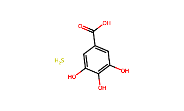 O=C(O)c1cc(O)c(O)c(O)c1.S